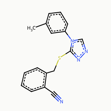 Cc1cccc(-n2cnnc2SCc2ccccc2C#N)c1